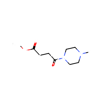 COC(=O)CCC(=O)N1CCN(C)CC1